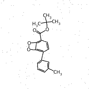 Cc1cccc(-c2ccc(C(=O)OC(C)(C)C)c3ooc23)c1